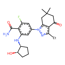 CCc1nn(-c2cc(F)c(C(N)=O)c(N[C@H]3CCC[C@H]3O)c2)c2c1C(=O)CC(C)(C)C2